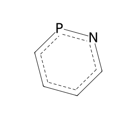 c1ccpnc1